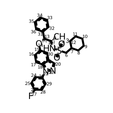 C[C@H](NS(=O)(=O)CC1CCCCC1)[C@H](Oc1ccc2c(cnn2-c2ccc(F)cc2)c1)c1ccccc1